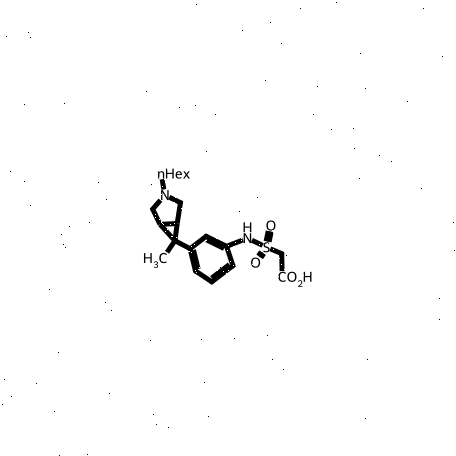 CCCCCCN1CC2C(C1)C2(C)c1cccc(NS(=O)(=O)CC(=O)O)c1